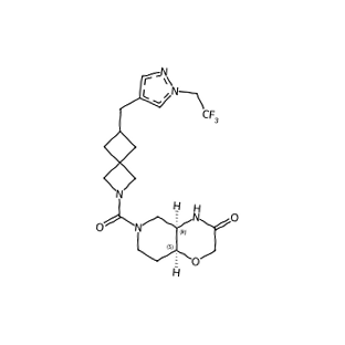 O=C1CO[C@H]2CCN(C(=O)N3CC4(CC(Cc5cnn(CC(F)(F)F)c5)C4)C3)C[C@H]2N1